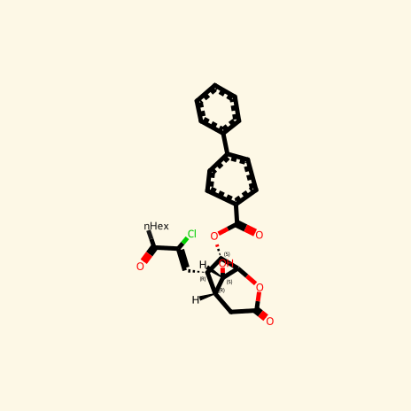 CCCCCCC(=O)C(Cl)=C[C@H]1[C@H]2CC(=O)OC([C@H]2O)[C@H]1OC(=O)c1ccc(-c2ccccc2)cc1